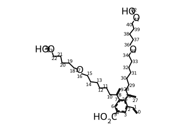 C=Cc1cc(C(=O)O)cc(C(=C)CCCCCCCOCCCCCOO)c1C(=C)CCCCCCCOCCCCCOO